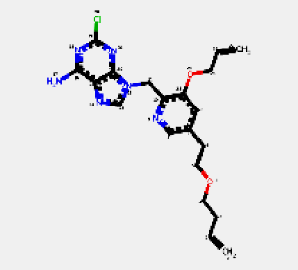 C=CCCOCCc1cnc(Cn2cnc3c(N)nc(Cl)nc32)c(OCC=C)c1